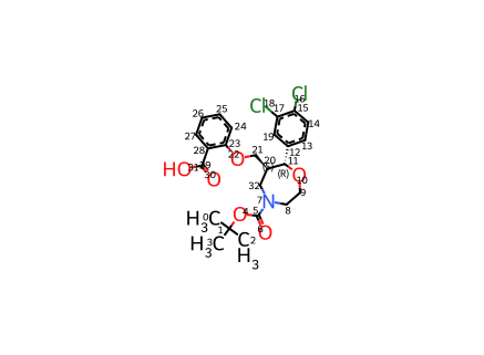 CC(C)(C)OC(=O)N1CCO[C@@H](c2ccc(Cl)c(Cl)c2)[C@H](COc2ccccc2C(=O)O)C1